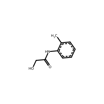 Cc1ccccc1NC(=O)CO